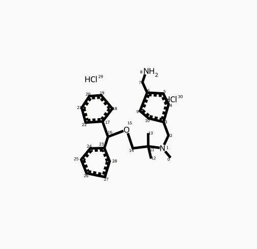 CN(Cc1ccc(CN)cc1)C(C)(C)COC(c1ccccc1)c1ccccc1.Cl.Cl